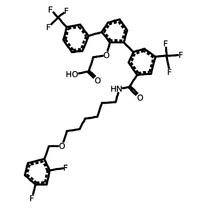 O=C(O)COc1c(-c2cccc(C(F)(F)F)c2)cccc1-c1cc(C(=O)NCCCCCCOCc2ccc(F)cc2F)cc(C(F)(F)F)c1